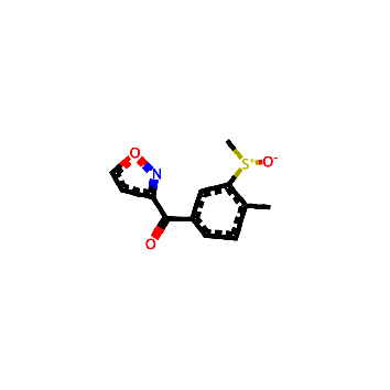 Cc1ccc(C(=O)c2ccon2)cc1[S+](C)[O-]